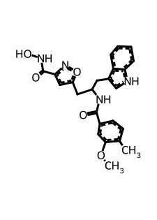 COc1cc(C(=O)NC(Cc2cc(C(=O)NO)no2)Cc2c[nH]c3ccccc23)ccc1C